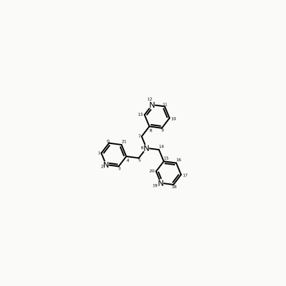 c1cncc(CN(Cc2cccnc2)Cc2cccnc2)c1